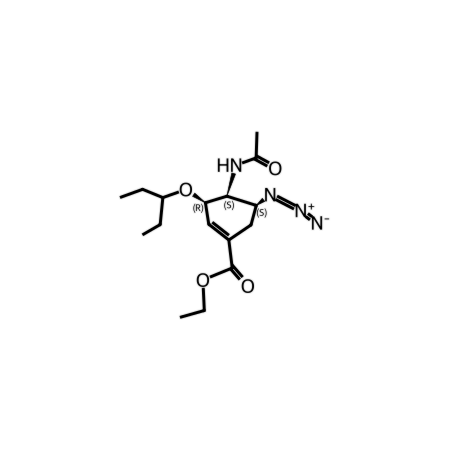 CCOC(=O)C1=C[C@@H](OC(CC)CC)[C@@H](NC(C)=O)[C@@H](N=[N+]=[N-])C1